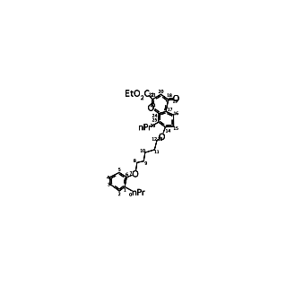 CCCc1ccccc1OCCCCCOc1ccc2c(=O)cc(C(=O)OCC)oc2c1CCC